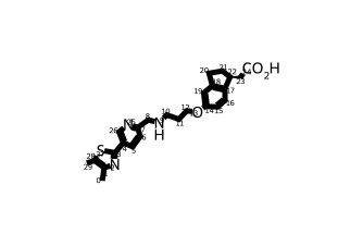 Cc1nc(-c2ccc(CNCCCOc3ccc4c(c3)CC[C@H]4CC(=O)O)nc2)sc1C